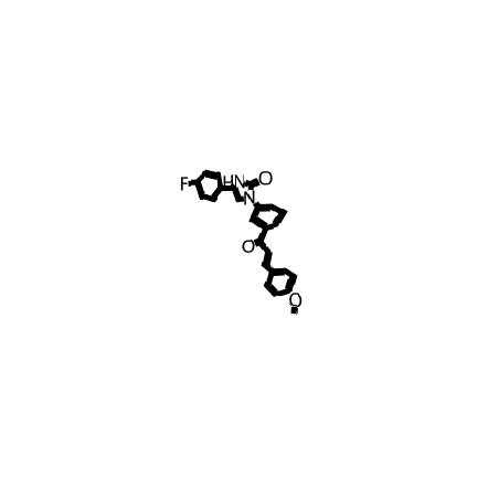 COc1ccc(C=CC(=O)c2cccc(-n3cc(-c4ccc(F)cc4)[nH]c3=O)c2)cc1